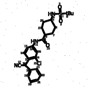 CC(C)(C)S(=O)(=O)NC1CCC(C(=O)Nc2ccc(C(C#N)c3ccccc3)c(Cl)c2)CC1